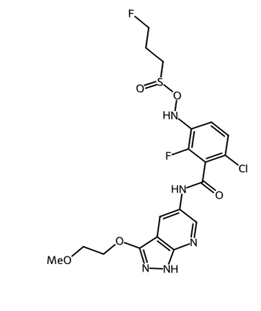 COCCOc1n[nH]c2ncc(NC(=O)c3c(Cl)ccc(NOS(=O)CCCF)c3F)cc12